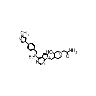 CCN(Cc1ccc(-c2cnn(C)c2)cc1)c1ncnc2c1ccn2CC1CCN(CC(N)=O)CC1O